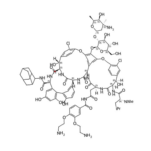 CN[C@H](CC(C)C)C(=O)N[C@H]1C(=O)N[C@@H](CC(=O)NC(=O)c2ccc(OCCN)c(OCCN)c2)C(=O)N[C@H]2C(=O)N[C@H]3C(=O)N[C@H](C(=O)N[C@H](C(=O)NC4C5CC6CC(C5)CC4C6)c4cc(O)cc(O)c4-c4cc3ccc4O)[C@H](O)c3ccc(c(Cl)c3)Oc3cc2cc(c3O[C@@H]2O[C@H](CO)[C@@H](O)[C@H](O)[C@H]2O[C@H]2C[C@](C)(N)[C@H](O)[C@H](C)O2)Oc2ccc(cc2Cl)[C@H]1O